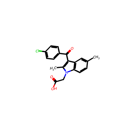 Cc1ccc2c(c1)c(C(=O)c1ccc(Cl)cc1)c(C)n2CC(=O)O